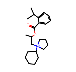 CC(C[N+]1(C2CCCCC2)CCCC1)OC(=O)c1ccccc1C(C)C